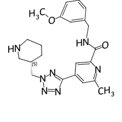 COc1cccc(CNC(=O)c2cc(-c3nnn(C[C@H]4CCCNC4)n3)cc(C)n2)c1